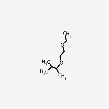 CCOCCOC(C)C(C)C